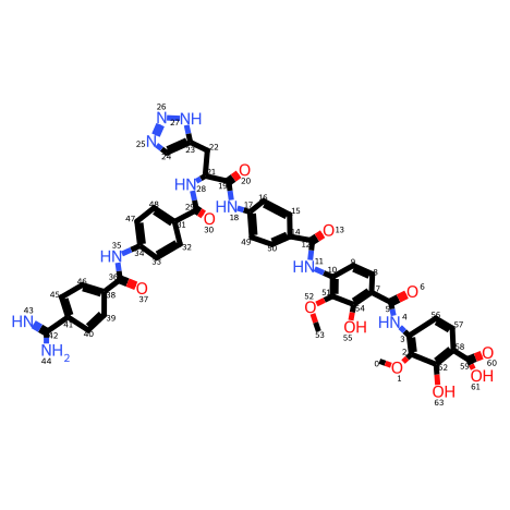 COc1c(NC(=O)c2ccc(NC(=O)c3ccc(NC(=O)C(Cc4cnn[nH]4)NC(=O)c4ccc(NC(=O)c5ccc(C(=N)N)cc5)cc4)cc3)c(OC)c2O)ccc(C(=O)O)c1O